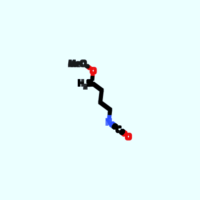 COO[SiH2]CCCN=C=O